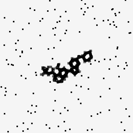 COc1cc(-c2cnc3cc(OC4CCOCC4)ccn23)cc(OC)c1C(=O)NCC(F)(F)F